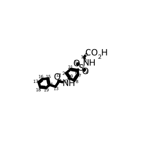 O=C(O)CNS(=O)(=O)c1ccc(NC(=O)Cc2ccccc2)cc1